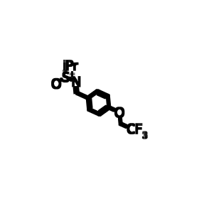 CC(C)[S@+]([O-])/N=C/c1ccc(OCC(F)(F)F)cc1